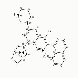 Fc1c(-c2cccc3cccc(Cl)c23)ncc2c(N3CC4CCC(C3)N4)nc(N3CCCNC3)nc12